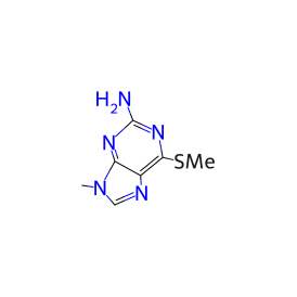 CSc1nc(N)nc2c1ncn2C